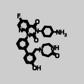 N[C@H]1CC[C@@H](n2c(=O)c3cc(F)cnc3n(-c3cccc(-c4ccc(O)cc4CN4CCNC(=O)CC4)c3)c2=O)CC1